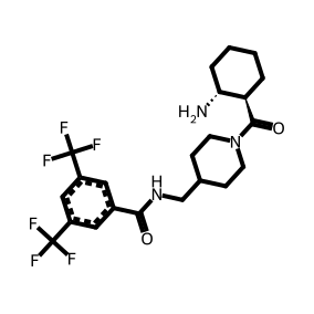 N[C@@H]1CCCC[C@H]1C(=O)N1CCC(CNC(=O)c2cc(C(F)(F)F)cc(C(F)(F)F)c2)CC1